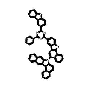 c1ccc(-c2nc(-c3ccc4oc5c6ccccc6c(-n6c7cc8ccccc8cc7c7c8ccccc8ccc76)cc5c4c3)nc(-c3ccc4sc5ccccc5c4c3)n2)cc1